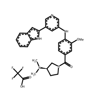 COc1cc(C(=O)N2CC[C@@H](N(C)C)C2)ccc1Nc1cncc(-c2cc3ccccc3[nH]2)c1.O=C(O)C(F)(F)F